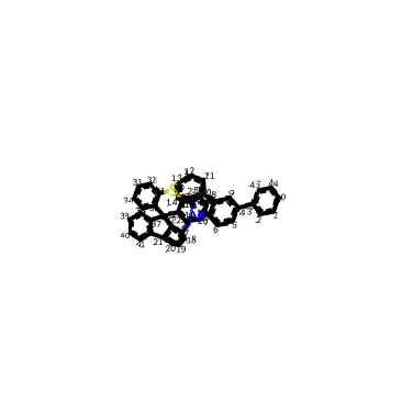 c1ccc(-c2ccc3c(c2)c2ccccc2n3-c2cccc3c2C2(c4ccccc4Sc4ccccc42)c2ccccc2-3)cc1